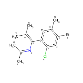 CCc1cc(Cl)c(C(N=C(C)C)=C(C)C)cc1C